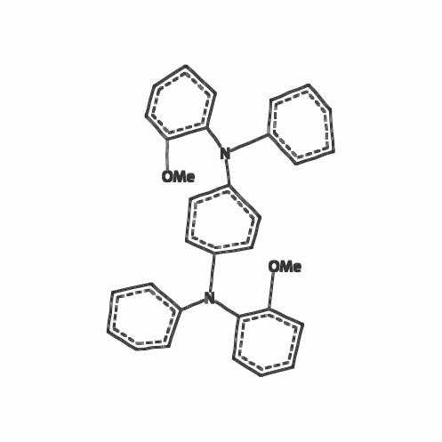 COc1ccccc1N(c1ccccc1)c1ccc(N(c2ccccc2)c2ccccc2OC)cc1